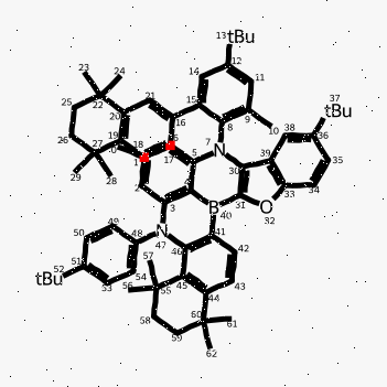 Cc1cc2c3c(c1)N(c1c(C)cc(C(C)(C)C)cc1-c1ccc4c(c1)C(C)(C)CCC4(C)C)c1c(oc4ccc(C(C)(C)C)cc14)B3c1ccc3c(c1N2c1ccc(C(C)(C)C)cc1)C(C)(C)CCC3(C)C